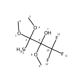 COC([SiH3])(OC)C(O)(OC)C(F)(F)F